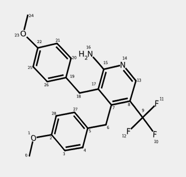 COc1ccc(Cc2c(C(F)(F)F)cnc(N)c2Cc2ccc(OC)cc2)cc1